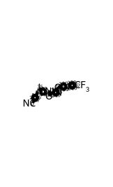 N#Cc1ccc(CN2CCC(NC(=O)c3ccnc(OC4CCN(c5ccc(C(F)(F)F)cc5)CC4)c3)CC2I)cc1